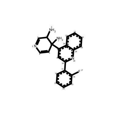 NC1C=NC=CC1(N)c1cc(-c2ccccc2F)nc2ccccc12